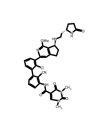 COc1nc(-c2cccc(-c3cccc(NC(=O)c4cn(C)c(=O)n(C)c4=O)c3C#N)c2Cl)cc2c1[C@@H](NCC[C@@H]1CCC(=O)N1)CC2